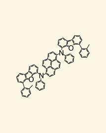 Cc1ccccc1-c1cccc2c1oc1c(N(c3ccccc3)c3ccc4ccc5c(N(c6ccccc6)c6cccc7c6oc6c(-c8ccccc8C)cccc67)ccc6ccc3c4c65)cccc12